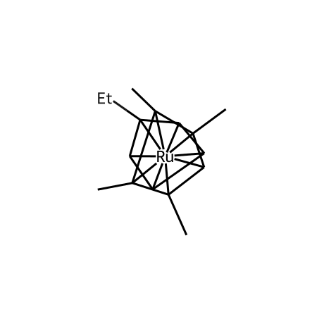 CC[C]12[CH]3[CH]4[CH]5[CH]1[Ru]45321678[CH]2[C]1(C)[C]6(C)[C]7(C)[C]28C